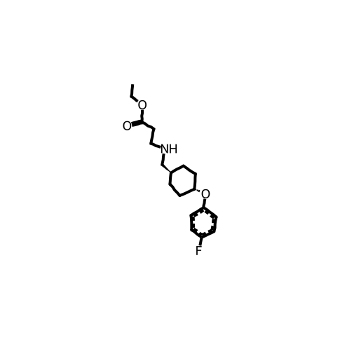 CCOC(=O)CCNC[C@H]1CC[C@H](Oc2ccc(F)cc2)CC1